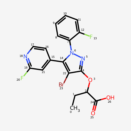 CCC(Oc1nn(-c2ccccc2F)c(-c2ccnc(F)c2)c1Br)C(=O)O